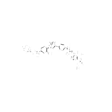 CC(C)(C)c1cc(NC(=O)Nc2ccc(-c3cn(-c4ccc(NCCN5CCOCC5)cc4Cl)nn3)cc2)no1